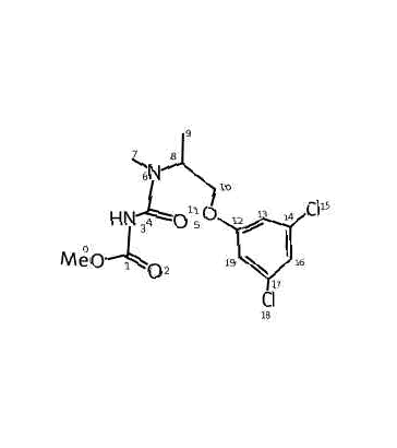 COC(=O)NC(=O)N(C)C(C)COc1cc(Cl)cc(Cl)c1